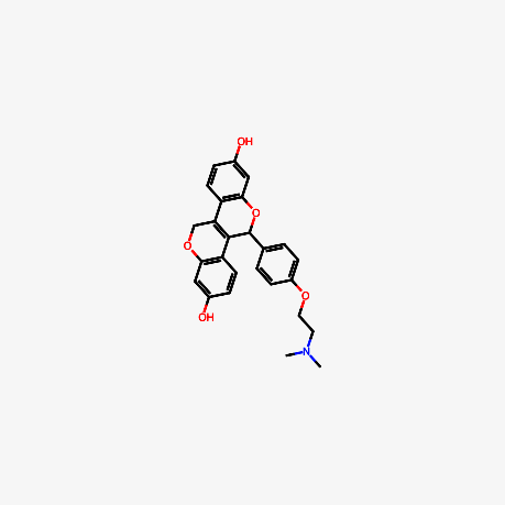 CN(C)CCOc1ccc(C2Oc3cc(O)ccc3C3=C2c2ccc(O)cc2OC3)cc1